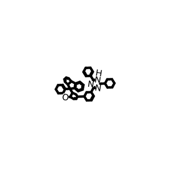 C1=CC2c3ccccc3C3(C4=CCCCC4OC4C=CC(C5CC=CC(C6=NC(C7CCCCC7)NC(C7=CCCC=C7)=N6)C5)CC43)C2C=C1